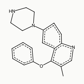 Cc1cnc2ccc(N3CCNCC3)cc2c1Oc1ccccc1